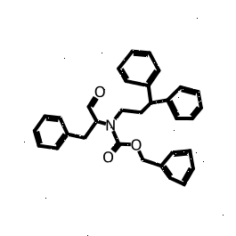 O=CC(Cc1ccccc1)N(CCC(c1ccccc1)c1ccccc1)C(=O)OCc1ccccc1